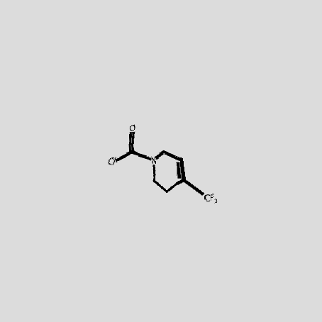 O=C(Cl)N1CC=C(C(F)(F)F)CC1